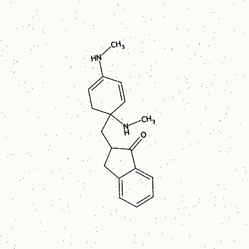 CNC1=CCC(CC2Cc3ccccc3C2=O)(NC)C=C1